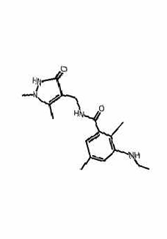 CCNc1cc(C)cc(C(=O)NCc2c(C)n(C)[nH]c2=O)c1C